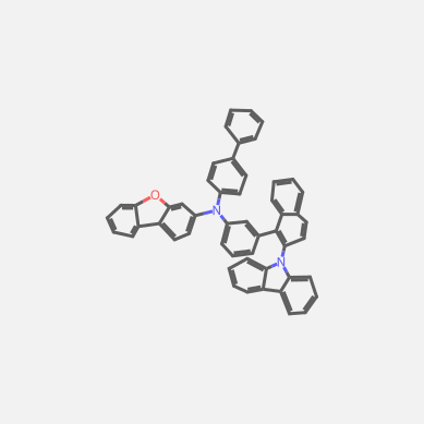 c1ccc(-c2ccc(N(c3cccc(-c4c(-n5c6ccccc6c6ccccc65)ccc5ccccc45)c3)c3ccc4c(c3)oc3ccccc34)cc2)cc1